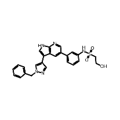 O=S(=O)(CCO)Nc1cccc(-c2cnc3[nH]cc(-c4cnn(Cc5ccccc5)c4)c3c2)c1